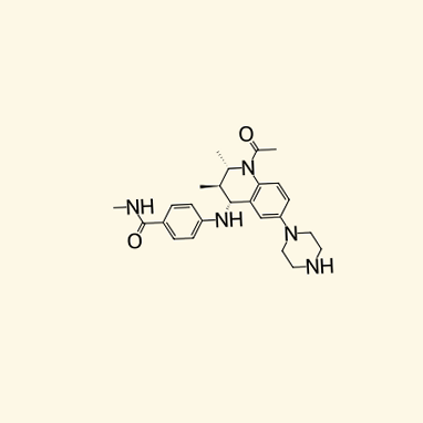 CNC(=O)c1ccc(N[C@H]2c3cc(N4CCNCC4)ccc3N(C(C)=O)[C@@H](C)[C@@H]2C)cc1